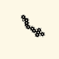 c1ccc(-c2c3ccccc3c(-c3ccc4cc(-c5ccc6sc7cc8c(ccc9c%10ccccc%10oc89)cc7c6c5)ccc4c3)c3ccccc23)cc1